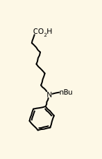 CCCCN(CCCCCC(=O)O)c1ccccc1